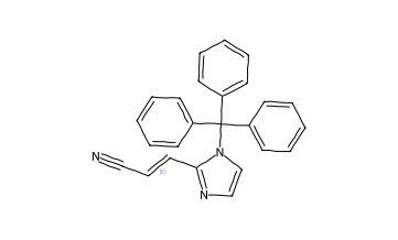 N#C/C=C/c1nccn1C(c1ccccc1)(c1ccccc1)c1ccccc1